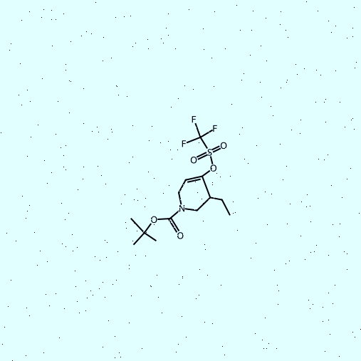 CCC1CN(C(=O)OC(C)(C)C)CC=C1OS(=O)(=O)C(F)(F)F